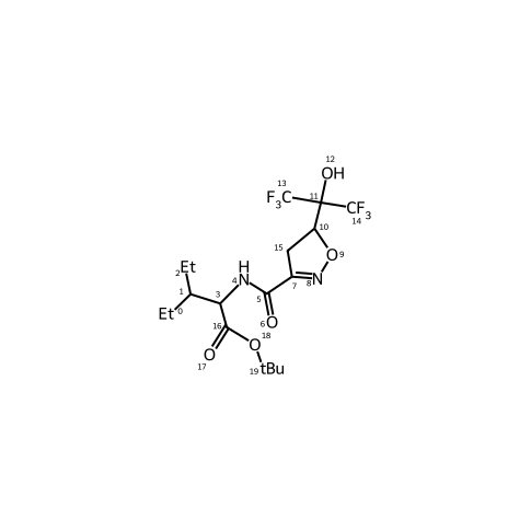 CCC(CC)C(NC(=O)C1=NOC(C(O)(C(F)(F)F)C(F)(F)F)C1)C(=O)OC(C)(C)C